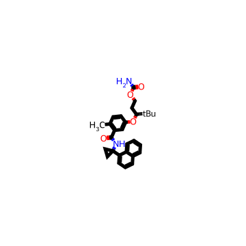 Cc1ccc(OC(CCOC(N)=O)C(C)(C)C)cc1C(=O)NC1(c2cccc3ccccc23)CC1